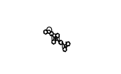 c1ccc2c(c1)N(c1ccc(-n3c4ccccc4c4ccccc43)cc1)c1cccc3c4cc5oc6ccccc6c5cc4n-2c13